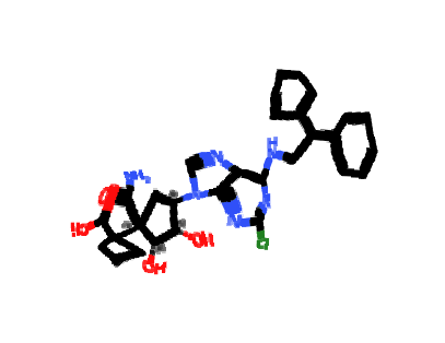 NC(=O)[C@]1(C2(C(=O)O)CCC2)C[C@@H](n2cnc3c(NCC(c4ccccc4)c4ccccc4)nc(Cl)nc32)[C@H](O)[C@@H]1O